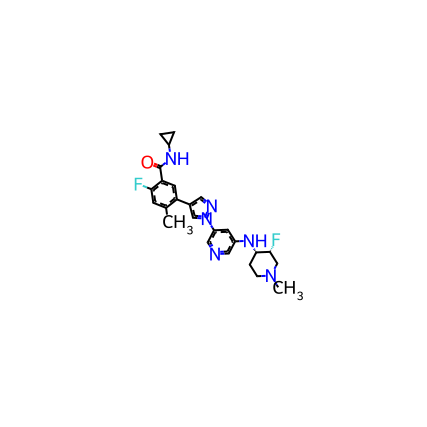 Cc1cc(F)c(C(=O)NC2CC2)cc1-c1cnn(-c2cncc(N[C@H]3CCN(C)C[C@H]3F)c2)c1